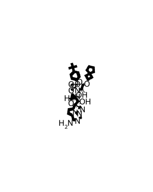 C[C@H](NP(=O)(Oc1ccc(C(C)(C)C)cc1)OC1[C@H]2O[C@@](C#N)(c3ccc4c(N)ncnn34)[C@H](O)[C@@]12O)C(=O)OC1CC2(CCCC2)C1